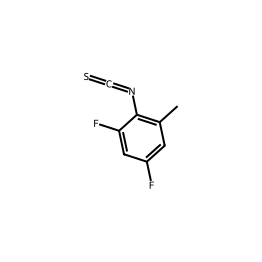 Cc1cc(F)cc(F)c1N=C=S